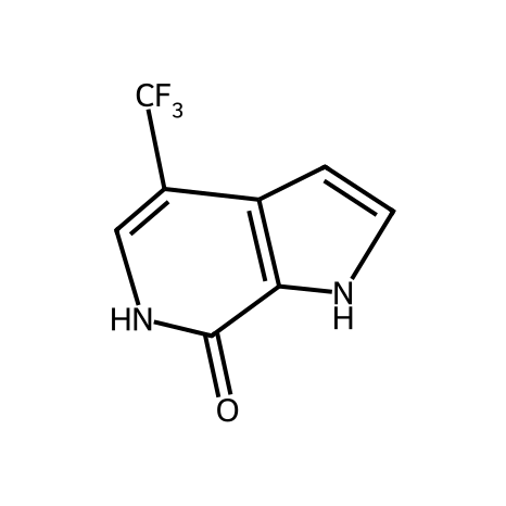 O=c1[nH]cc(C(F)(F)F)c2cc[nH]c12